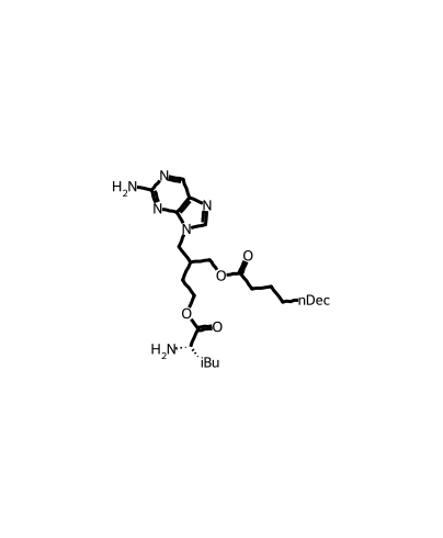 CCCCCCCCCCCCCC(=O)OCC(CCOC(=O)[C@@H](N)[C@@H](C)CC)Cn1cnc2cnc(N)nc21